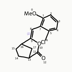 COc1cccc(Cl)c1/C=C1\OC(=O)C2CCC1C2